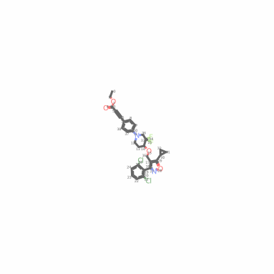 CCOC(=O)C#Cc1ccc(N2CCC(OCc3c(-c4c(Cl)cccc4Cl)noc3C3CC3)C(F)(F)C2)cc1